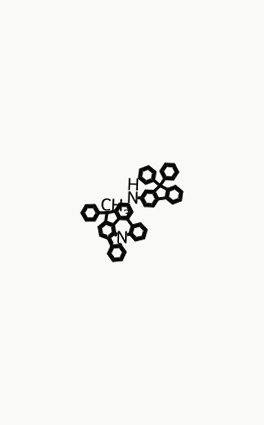 CC1(c2ccccc2)c2cc(Nc3ccc4c(c3)C(c3ccccc3)(c3ccccc3)c3ccccc3-4)cc3c2-c2c1ccc1c4ccccc4n(c21)-c1ccccc1-3